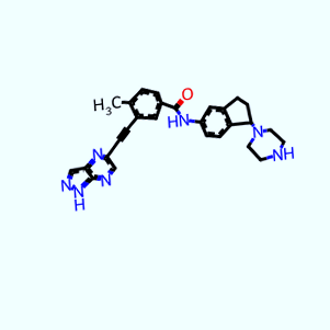 Cc1ccc(C(=O)Nc2ccc3c(c2)CCC3N2CCNCC2)cc1C#Cc1cnc2[nH]ncc2n1